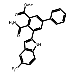 COC(=O)c1cc(-c2ccccc2)cc(-c2cc3cc(C(F)(F)F)ccc3[nH]2)c1C(N)=O